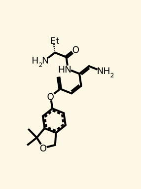 C=C(/C=C\C(=C/N)NC(=O)[C@H](N)CC)Oc1ccc2c(c1)C(C)(C)OC2